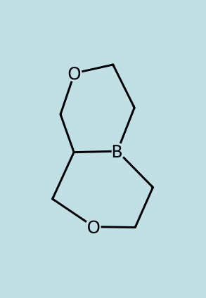 C1CB2CCOCC2CO1